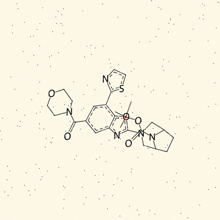 CC(C)(C)OC(=O)N1C2CCC1CN(c1nc3cc(C(=O)N4CCOCC4)cc(-c4nccs4)c3o1)C2